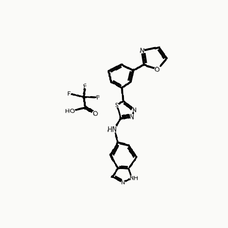 O=C(O)C(F)(F)F.c1cc(-c2ncco2)cc(-c2nnc(Nc3ccc4[nH]ncc4c3)s2)c1